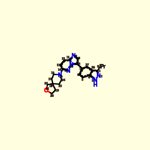 CC(C)c1n[nH]c2ccc(-c3cnc4ccc(N5CCC6(CCOC6)CC5)nn34)cc12